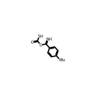 CC(C)(C)c1ccc(C(=N)OC(=O)S)cc1